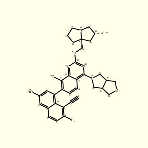 C#Cc1c(F)ccc2cc(O)cc(-c3ccc4c(N5CC6COCC6C5)nc(OC[C@@]56CCCN5C[C@H](F)C6)nc4c3F)c12